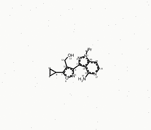 CC(C)n1nc(-c2noc(C3CC3)c2CO)c2c(N)nccc21